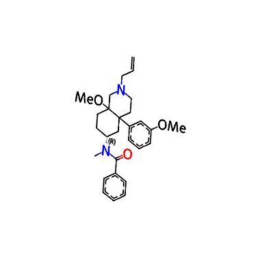 C=CCN1CCC2(c3cccc(OC)c3)C[C@H](N(C)C(=O)c3ccccc3)CCC2(OC)C1